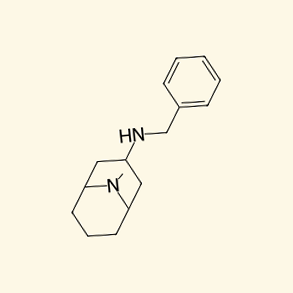 CN1C2CCCC1CC(NCc1ccccc1)C2